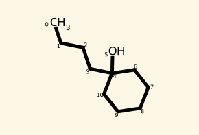 CCCCC1(O)CCCCC1